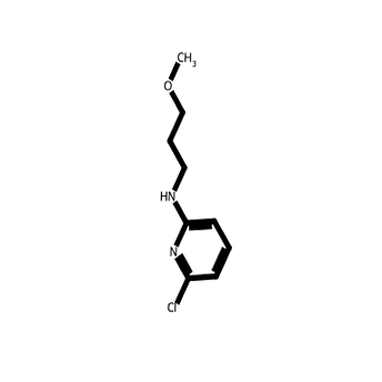 COCCCNc1cccc(Cl)n1